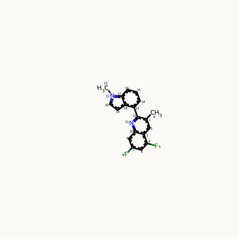 Cc1cc2c(F)cc(F)cc2nc1-c1cccc2c1ccn2C